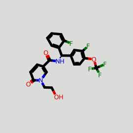 O=C(N[C@@H](c1ccc(OC(F)(F)F)c(F)c1)c1ccccc1F)c1ccc(=O)n(CCO)c1